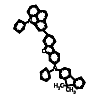 CC1(C)c2ccccc2-c2ccc(N(c3ccccc3)c3ccc4c(c3)oc3cc(-c5cc6ccc7cccc8c7c6c(c5)n8-c5ccccc5)ccc34)cc21